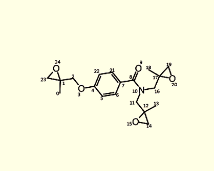 CC1(COc2ccc(C(=O)N(CC3(C)CO3)CC3(C)CO3)cc2)CO1